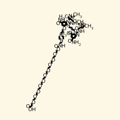 CCn1nc(C)cc1C(=O)Nc1nc2cc(C(N)=O)cc(OC)c2n1C/C=C/Cn1c(NC(=O)c2cc(C)nn2CC)nc2cc(C(N)=O)cc(OCCCN3CCN(CCNC(=O)OCCOCCOCCOCCOCCOCCOCCOCCOCCOCCOCCC(=O)O)CC3)c21